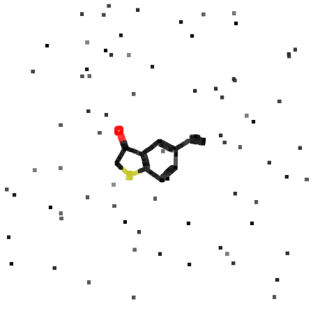 CC(C)(C)c1ccc2c(c1)C(=O)CS2